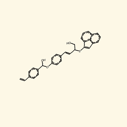 C=Cc1ccc(C(O)Oc2ccc(C=CC(CO)SC3=Cc4cccc5cccc3c45)cc2)cc1